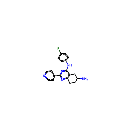 NC1CCc2nc(-c3ccncc3)nc(Nc3ccc(F)cc3)c2C1